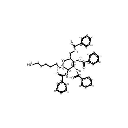 O=C(OCC1O[C@H](OCCCCCO)C(OC(=O)c2ccccc2)[C@@H](OC(=O)c2ccccc2)[C@@H]1OC(=O)c1ccccc1)c1ccccc1